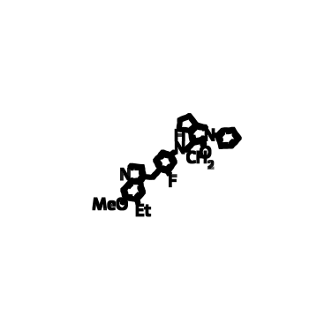 C=C(Nc1ccc(Cc2ccnc3cc(OC)c(CC)cc23)c(F)c1)c1c2c(cn(-c3ccccc3)c1=O)CCC2